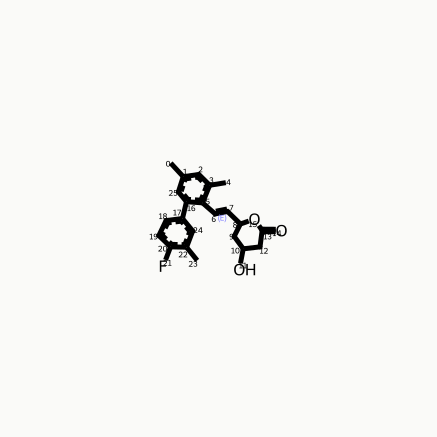 Cc1cc(C)c(/C=C/C2CC(O)CC(=O)O2)c(-c2ccc(F)c(C)c2)c1